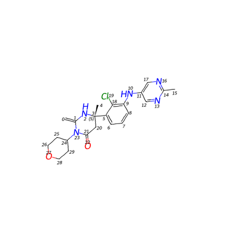 C=C1N[C@](C)(c2cccc(Nc3cnc(C)nc3)c2Cl)CC(=O)N1C1CCOCC1